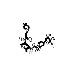 COC[C@H]1OC(c2ccn3c(C(=O)Nc4cc(NC(=O)CCN5CCC(C)(C)CC5)cnc4C)nnc3c2)=C[C@@H](OC)[C@@H]1OC